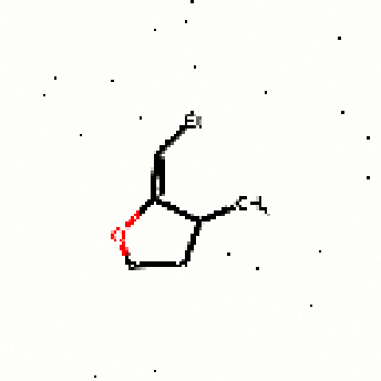 CCC=C1OCCC1C